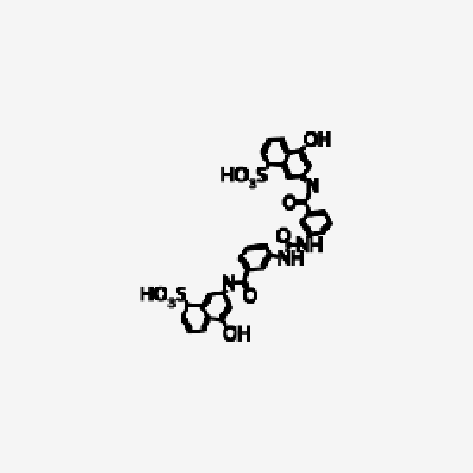 O=C(Nc1cccc(C(=O)N=C2C=C(O)C3=CC=CC(S(=O)(=O)O)C3=C2)c1)Nc1cccc(C(=O)N=C2C=C(O)C3=CC=CC(S(=O)(=O)O)C3=C2)c1